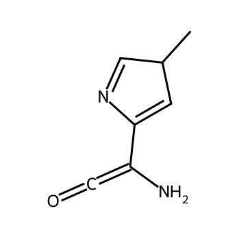 CC1C=NC(C(N)=C=O)=C1